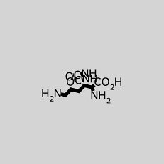 N=C=O.N=C=O.NCCCCC(N)C(=O)O